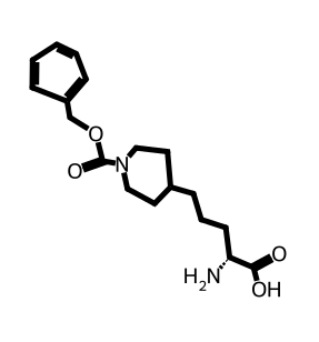 N[C@H](CCCC1CCN(C(=O)OCc2ccccc2)CC1)C(=O)O